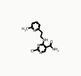 Cc1cccc(CCNc2nc(Cl)ncc2C(N)=O)n1